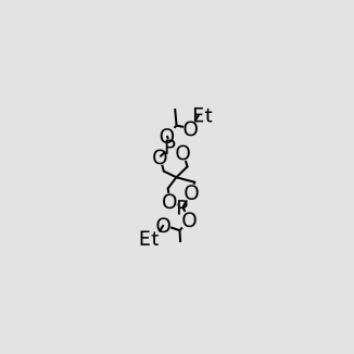 CCOC(C)OP1OCC2(CO1)COP(OC(C)OCC)OC2